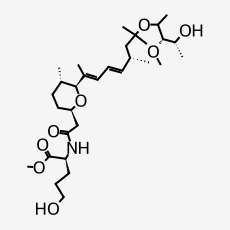 COC(=O)[C@H](CCCO)NC(=O)C[C@H]1CC[C@H](C)[C@@H](/C(C)=C/C=C/[C@@H](C)CC(C)(C)OC(C)[C@@H](OC)[C@@H](C)O)O1